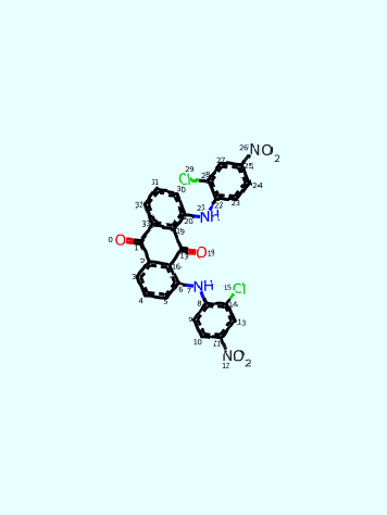 O=C1c2cccc(Nc3ccc([N+](=O)[O-])cc3Cl)c2C(=O)c2c(Nc3ccc([N+](=O)[O-])cc3Cl)cccc21